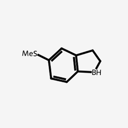 CSc1ccc2c(c1)CCB2